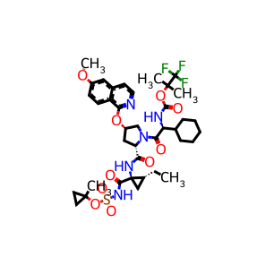 CC[C@@H]1C[C@]1(NC(=O)[C@@H]1C[C@@H](Oc2nccc3cc(OC)ccc23)CN1C(=O)[C@@H](NC(=O)OC(C)(C)C(F)(F)F)C1CCCCC1)C(=O)NS(=O)(=O)OC1(C)CC1